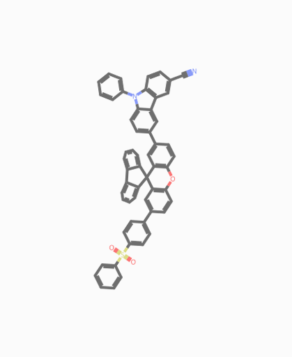 N#Cc1ccc2c(c1)c1cc(-c3ccc4c(c3)C3(c5cc(-c6ccc(S(=O)(=O)c7ccccc7)cc6)ccc5O4)c4ccccc4-c4ccccc43)ccc1n2-c1ccccc1